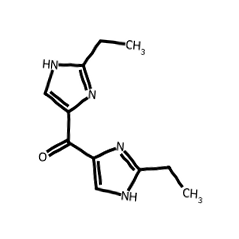 CCc1nc(C(=O)c2c[nH]c(CC)n2)c[nH]1